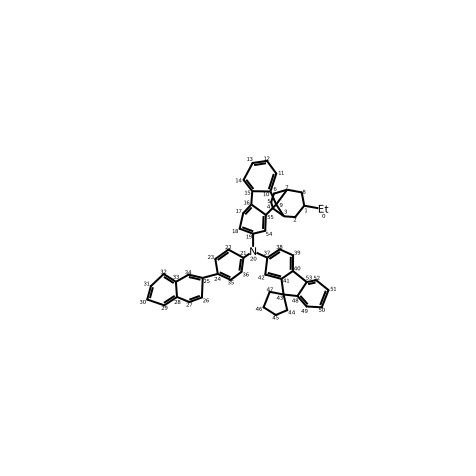 CCC1CC2CCCC(C1)C21c2ccccc2-c2ccc(N(c3ccc(-c4ccc5ccccc5c4)cc3)c3ccc4c(c3)C3(CCCC3)c3ccccc3-4)cc21